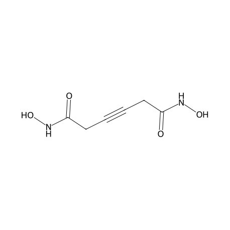 O=C(CC#CCC(=O)NO)NO